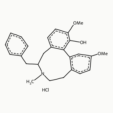 COc1ccc2c(c1)-c1c(ccc(OC)c1O)CC(Cc1ccccc1)N(C)CC2.Cl